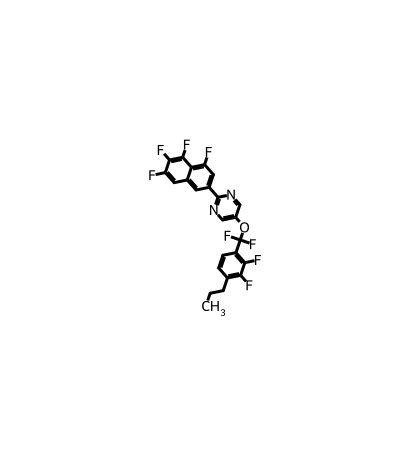 CCCc1ccc(C(F)(F)Oc2cnc(-c3cc(F)c4c(F)c(F)c(F)cc4c3)nc2)c(F)c1F